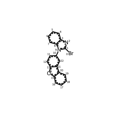 Brc1nc2ccccc2n1-c1ccc2oc3ccccc3c2c1